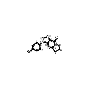 O=c1c2nnn(-c3ccc(Br)cc3)c2nc2n1CCC2